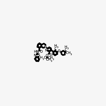 Cc1c(OC2CCCC(C)(C)C2)cccc1-c1ccc(N2CCc3cccc(C(=O)Nc4nc5ccccc5s4)c3C2)nc1C(=O)OC(C)(C)C